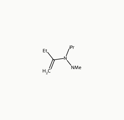 C=C(CC)N(NC)C(C)C